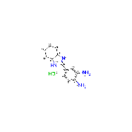 Cl.Nc1ccc(C2=NC3CCCCC3N2)cc1N